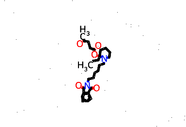 CCCC1(OC(=O)CCC(C)=O)CCCCN1CCCCCCN1C(=O)c2ccccc2C1=O